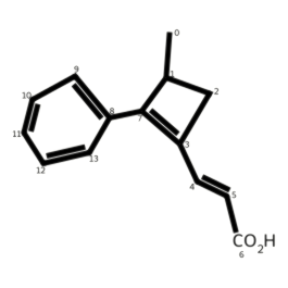 CC1CC(C=CC(=O)O)=C1c1ccccc1